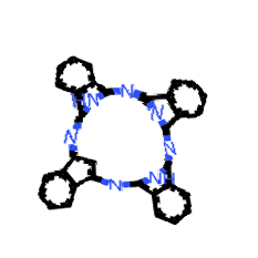 c1ccc2c(c1)-c1cc-2nc2[nH]c(nc3nc(nc4[nH]c(n1)c1ccccc41)-c1ccccc1-3)c1ccccc21